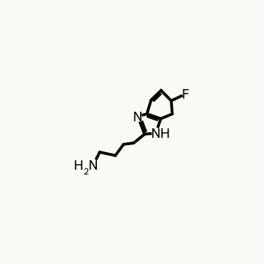 NCCCCc1nc2c([nH]1)CC(F)C=C2